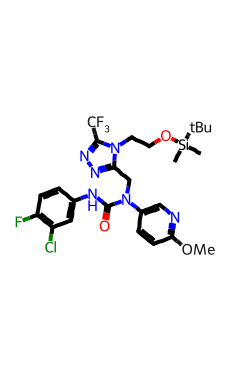 COc1ccc(N(Cc2nnc(C(F)(F)F)n2CCO[Si](C)(C)C(C)(C)C)C(=O)Nc2ccc(F)c(Cl)c2)cn1